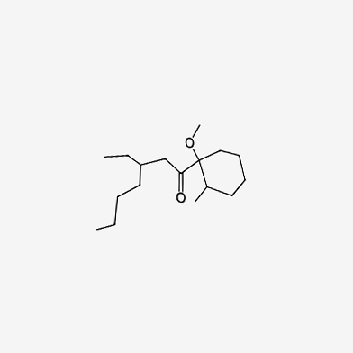 CCCCC(CC)CC(=O)C1(OC)CCCCC1C